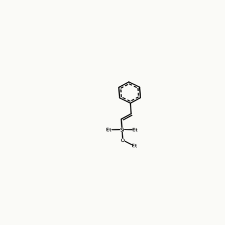 CCO[Si](/C=C/c1ccccc1)(CC)CC